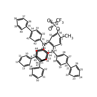 Cc1cc(N(c2ccc(-c3ccccc3)cc2)c2ccc(-c3ccccc3)cc2)c(N(c2ccc(-c3ccccc3)cc2)c2ccc(-c3ccccc3)cc2)cc1OS(=O)(=O)C(F)(F)F